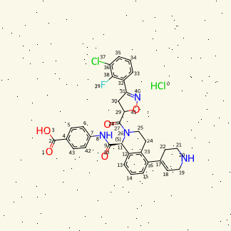 Cl.O=C(O)c1ccc(NC(=O)[C@@H]2c3cccc(C4=CCNCC4)c3CCN2C(=O)C2CC(c3cccc(Cl)c3F)=NO2)cc1